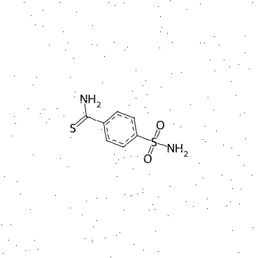 NC(=S)c1ccc(S(N)(=O)=O)cc1